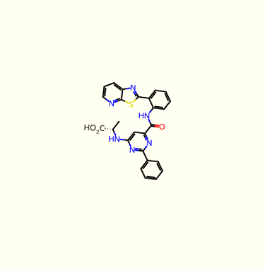 C[C@H](Nc1cc(C(=O)Nc2ccccc2-c2nc3cccnc3s2)nc(-c2ccccc2)n1)C(=O)O